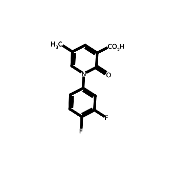 Cc1cc(C(=O)O)c(=O)n(-c2ccc(F)c(F)c2)c1